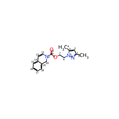 Cc1cc(C)n(CCOC(=O)N2C=Cc3ccccc3C2)n1